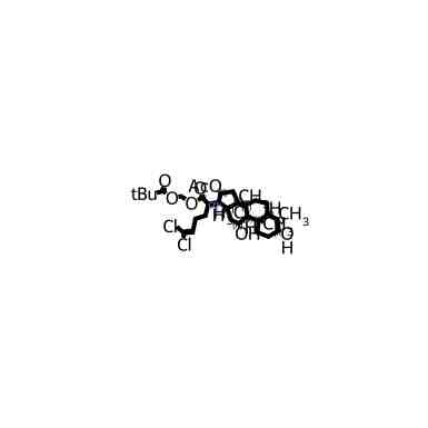 CC(=O)O[C@H]1C[C@@]2(C)[C@@H](C[C@@H](O)[C@H]3[C@@]4(C)CC[C@@H](O)[C@@H](C)[C@@H]4CC[C@@]32C)/C1=C(\CCC=C(Cl)Cl)C(=O)OCOC(=O)C(C)(C)C